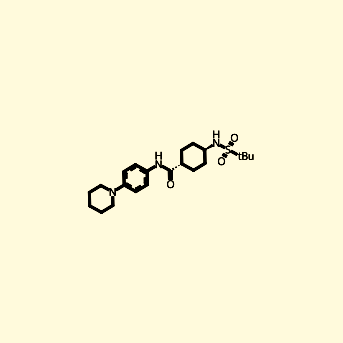 CC(C)(C)S(=O)(=O)N[C@H]1CC[C@H](C(=O)Nc2ccc(N3CCCCC3)cc2)CC1